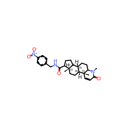 CN1C(=O)C=C[C@@]2(C)C1CC[C@@H]1[C@H]2CC[C@]2(C)C(C(=O)NCc3ccc([N+](=O)[O-])cc3)CC[C@@H]12